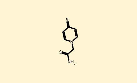 NC(=S)Cn1ccc(=S)cc1